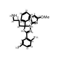 COc1csc(N2N=C(c3cc(F)ccc3F)SC2(CCCN)c2ccccc2)n1